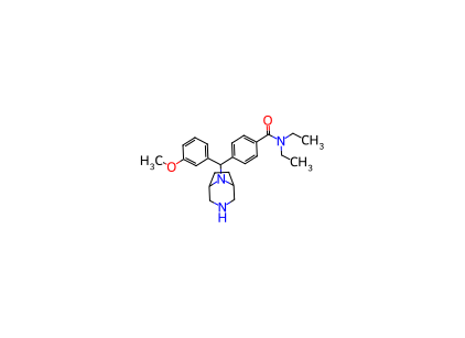 CCN(CC)C(=O)c1ccc(C(c2cccc(OC)c2)N2C3CCC2CNC3)cc1